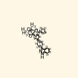 CC(C)(C)OC(=O)N1C[C@@H](N2CCN(c3n[nH]c4ccccc34)CC2)C[C@H]1C(=O)N1CCSC1